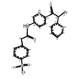 CCS(=O)(=O)c1ccc(CC(=O)Nc2ccc(C(=O)C(c3ccccn3)C(C)C)nc2)cc1